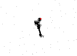 CC(C)N1CC(C#CC#Cc2cc3n(c2)C(=O)N(CC[C@](C)(C(=O)NOC2CCCCO2)S(C)(=O)=O)C3)C1